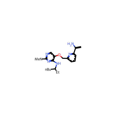 C=C(N)c1cccc(COc2cnc(NC)nc2NC(CC)CCCC)n1